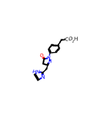 O=C(O)Cc1ccc(N2N=C(Cc3ncc[nH]3)CC2=O)cc1